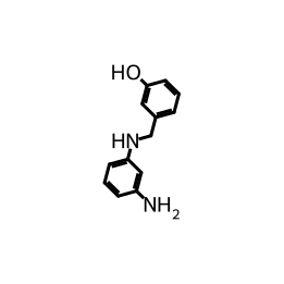 Nc1cccc(NCc2cccc(O)c2)c1